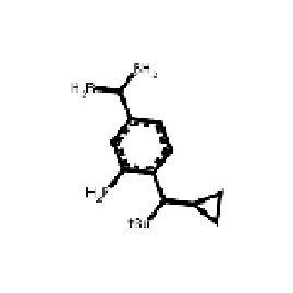 BC(B)c1ccc(C(C2CC2)C(C)(C)C)c(P)c1